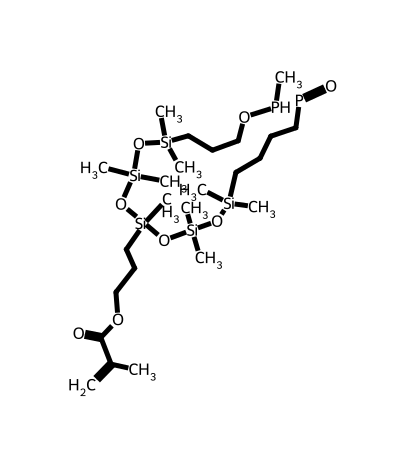 C=C(C)C(=O)OCCC[Si](C)(O[Si](C)(C)O[Si](C)(C)CCCCP=O)O[Si](C)(C)O[Si](C)(C)CCCOPC